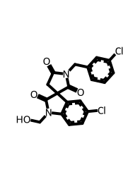 O=C1CC2(C(=O)N1Cc1cccc(Cl)c1)C(=O)N(CO)c1ccc(Cl)cc12